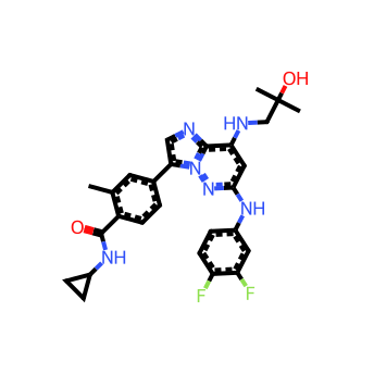 Cc1cc(-c2cnc3c(NCC(C)(C)O)cc(Nc4ccc(F)c(F)c4)nn23)ccc1C(=O)NC1CC1